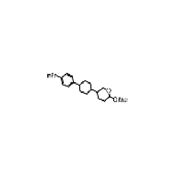 CCCc1ccc(C2CCC(C3CCC(OC)OC3)CC2)cc1